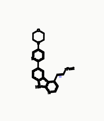 CCCCC/C=C/c1ccnc2[nH]c3ccc(-c4ccc(N5CCOCC5)cn4)cc3c12